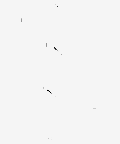 CC1CC2C3=CC=C(c4cncc(F)c4)[C@@]3(C)CCC2[C@@]2(C)CCC(=O)C=C12